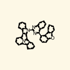 c1ccc2c(-c3cccc4oc5ccccc5c34)nc(-n3c4ccccc4c4c3c3c5ccccc5c5cccc4n53)nc2c1